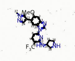 COc1cc2ncn(-c3ccc(C(F)(F)F)c(NC4CCNC4)n3)c2cc1-c1cnn(C)c1